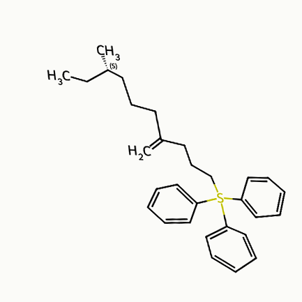 C=C(CCC[C@@H](C)CC)CCCS(c1ccccc1)(c1ccccc1)c1ccccc1